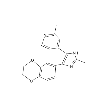 Cc1cc(-c2[nH]c(C)nc2-c2ccc3c(c2)OCCO3)ccn1